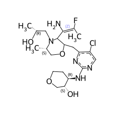 C/C(F)=C(/N)C1C(Cc2nc(N[C@@H]3CCOC[C@H]3O)ncc2Cl)OC[C@H](C)N1C[C@@H](C)O